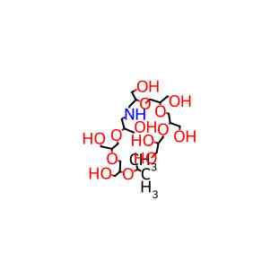 CC(C)OC(CO)COC(CO)COC(CO)CNCC(CO)OCC(CO)OCC(CO)OCC(O)CO